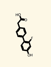 O=C(O)Cc1ccc(-c2ccc(O)cc2F)cc1